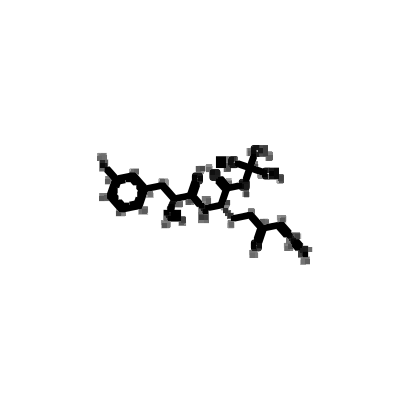 CC(C)(C)OC(=O)[C@H](CCC(=O)C=[N+]=[N-])NC(=O)[C@@H](N)Cc1cccc(F)c1